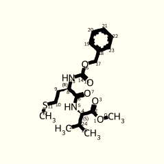 COC(=O)[C@@H](NC(=O)[C@@H](CCSC)NC(=O)OCc1ccccc1)C(C)C